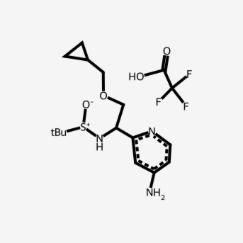 CC(C)(C)[S+]([O-])NC(COCC1CC1)c1cc(N)ccn1.O=C(O)C(F)(F)F